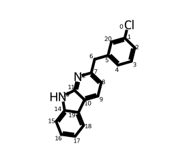 Clc1cccc(Cc2ccc3c(n2)[nH]c2ccccc23)c1